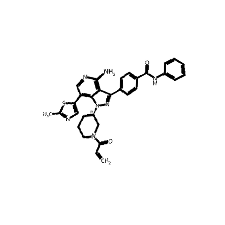 C=CC(=O)N1CCC[C@@H](n2nc(-c3ccc(C(=O)Nc4ccccc4)cc3)c3c(N)ncc(-c4cnc(C)s4)c32)C1